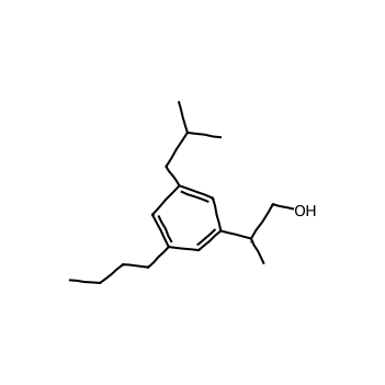 CCCCc1cc(CC(C)C)cc([C](C)CO)c1